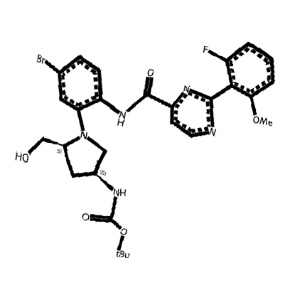 COc1cccc(F)c1-c1nccc(C(=O)Nc2ccc(Br)cc2N2C[C@@H](NC(=O)OC(C)(C)C)C[C@H]2CO)n1